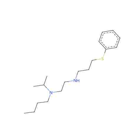 CCCCN(CCNCCCSc1ccccc1)C(C)C